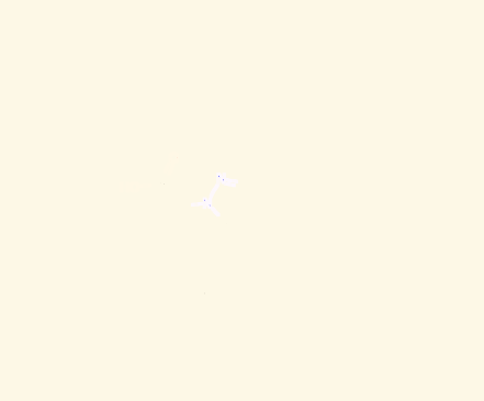 Cc1cc(-c2cc(CC(C)C)n(CC(=O)O)n2)ccc1F